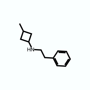 CC1CC(NCCc2ccccc2)C1